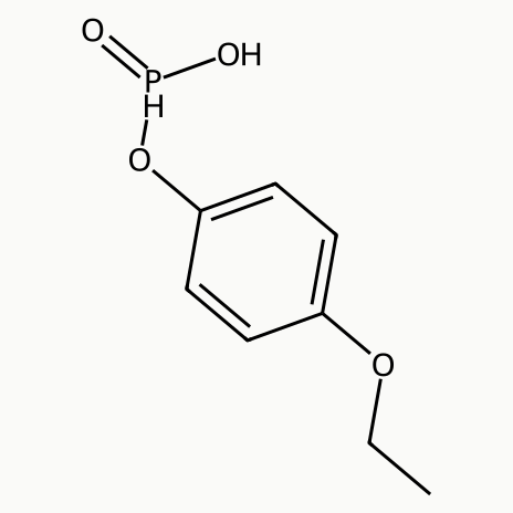 CCOc1ccc(O[PH](=O)O)cc1